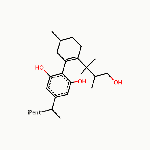 CCCC(C)C(C)c1cc(O)c(C2=C(C(C)(C)C(C)CO)CCC(C)C2)c(O)c1